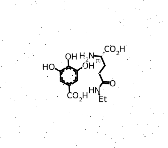 CCNC(=O)CC[C@H](N)C(=O)O.O=C(O)c1cc(O)c(O)c(O)c1